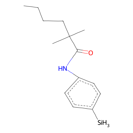 CCCCC(C)(C)C(=O)Nc1ccc([SiH3])cc1